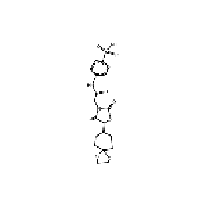 NS(=O)(=O)c1ccc(NC(=O)CN2C(=O)SC(=C3CCC4(CC3)OCCO4)C2=O)cc1